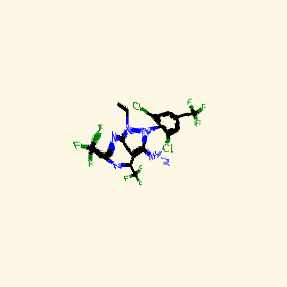 CCN1C2N=C(C(F)(F)F)N=C(C(F)(F)F)C2=C(N)N1c1c(Cl)cc(C(F)(F)F)cc1Cl